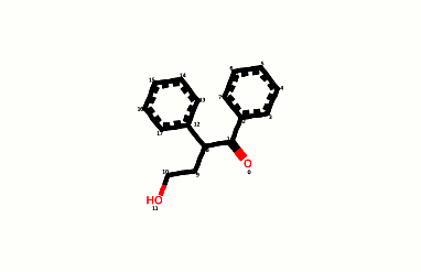 O=C(c1ccccc1)C(CCO)c1ccccc1